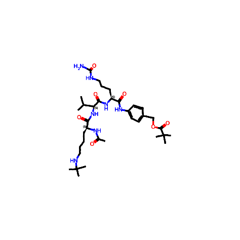 CC(=O)N[C@@H](CCCCNC(C)(C)C)C(=O)N[C@H](C(=O)N[C@@H](CCCNC(N)=O)C(=O)Nc1ccc(COC(=O)C(C)(C)C)cc1)C(C)C